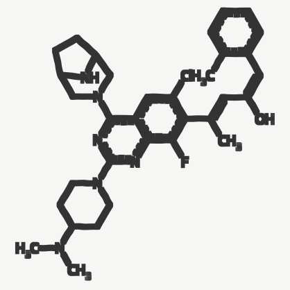 C/C(=C\C(O)=C/c1ccccc1C)c1c(Cl)cc2c(N3CC4CCC(C3)N4)nc(N3CCC(N(C)C)CC3)nc2c1F